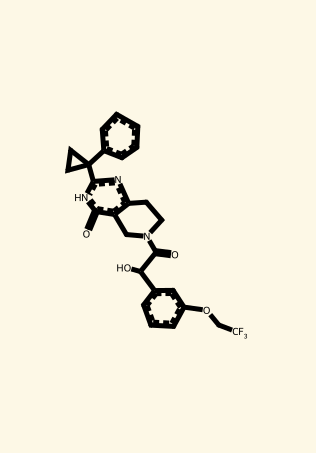 O=C(C(O)c1cccc(OCC(F)(F)F)c1)N1CCc2nc(C3(c4ccccc4)CC3)[nH]c(=O)c2C1